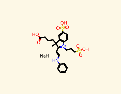 CC1(CCCC(=O)O)C(/C=C/Nc2ccccc2)=[N+](CCCS(=O)(=O)O)c2ccc(S(=O)(=O)O)cc21.[NaH]